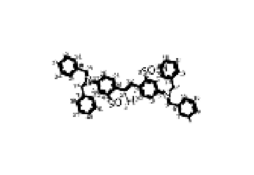 O=S(=O)(O)c1cc(N(Cc2ccccc2)Cc2ccccc2)ccc1C=Cc1ccc(N(Cc2ccccc2)Cc2ccccc2)cc1S(=O)(=O)O